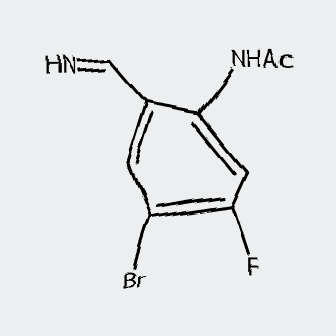 CC(=O)Nc1cc(F)c(Br)cc1C=N